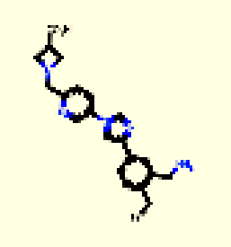 CC(C)Cc1ccc(-c2cn(-c3ccc(CN4CC(C(=O)O)C4)nc3)cn2)cc1CN